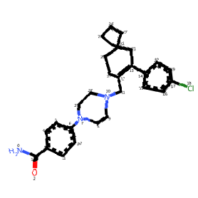 NC(=O)c1ccc(N2CCN(CC3=C(c4ccc(Cl)cc4)CC4(CCC4)CC3)CC2)cc1